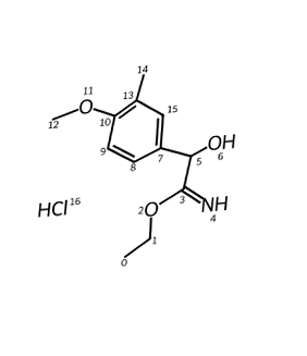 CCOC(=N)C(O)c1ccc(OC)c(C)c1.Cl